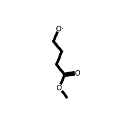 COC(=O)CCC[O]